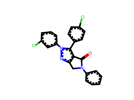 O=C1c2c(nn(-c3cccc(Cl)c3)c2-c2ccc(Cl)cc2)CN1c1ccccc1